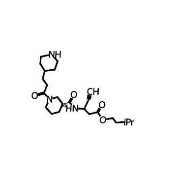 C#CC(CC(=O)OCCC(C)C)NC(=O)[C@@H]1CCCN(C(=O)CCC2CCNCC2)C1